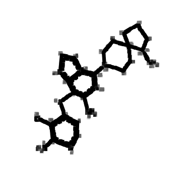 Nc1nccc(Sc2c(N)nc(N3CCC4(CCC[C@H]4N)CC3)n3ccnc23)c1Cl